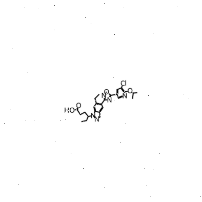 CCc1cc2c(cnn2C(CC)CCC(=O)O)cc1-c1noc(-c2cnc(OC(C)C)c(Cl)c2)n1